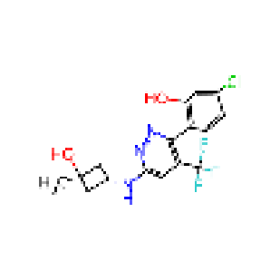 C[C@]1(O)C[C@H](Nc2cc(C(F)(F)F)c(-c3ccc(Cl)cc3O)nn2)C1